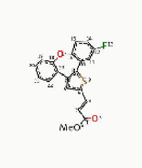 COC(=O)/C=C/c1cc2c(s1)-c1cc(F)ccc1Oc1ccccc1-2